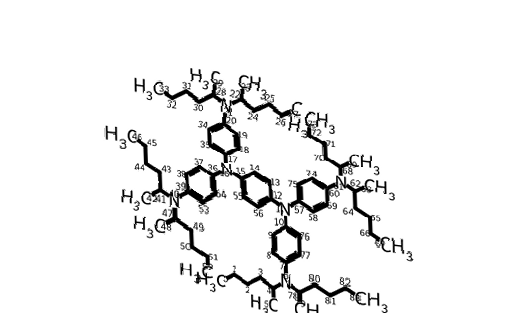 CCCCC(C)N(c1ccc(N(c2ccc(N(c3ccc(N(C(C)CCCC)C(C)CCCC)cc3)c3ccc(N(C(C)CCCC)C(C)CCCC)cc3)cc2)c2ccc(N(C(C)CCCC)C(C)CCCC)cc2)cc1)C(C)CCCC